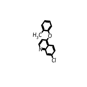 Cc1ccccc1Oc1ccnc2cc(Cl)ccc12